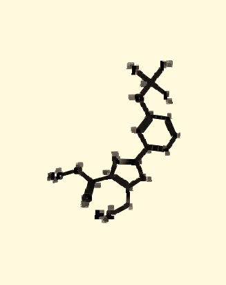 CCc1sc(-c2cccc(OC(F)(F)F)c2)nc1C(=O)OC